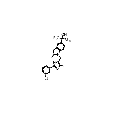 CCc1cccc(-c2nc(CN3c4ccc(C(O)(C(F)(F)F)C(F)(F)F)cc4CC3C)c(C)o2)c1